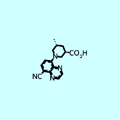 C[C@@H]1C[C@@H](C(=O)O)CN(c2ccc(C#N)c3nccnc23)C1